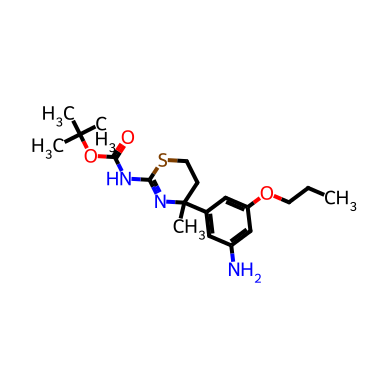 CCCOc1cc(N)cc(C2(C)CCSC(NC(=O)OC(C)(C)C)=N2)c1